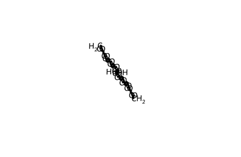 C=CC(=O)OCCCCOC(=O)Oc1ccc(C(=O)Oc2ccc(C(=O)O[C@H]3CO[C@]4(O)[C@H](OC(=O)c5ccc(OC(=O)c6ccc(OC(=O)OCCCCOC(=O)C=C)cc6)cc5)CO[C@]34O)cc2)cc1